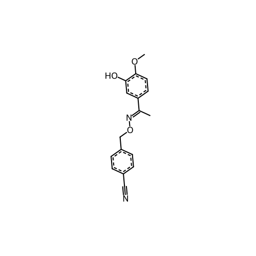 COc1ccc(/C(C)=N/OCc2ccc(C#N)cc2)cc1O